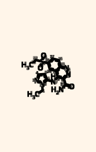 CCn1nccc1Nc1c(C(N)=O)nnc2ccc(S(=O)(=O)CC)cc12